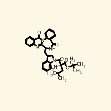 CC(C)C[C@](N)(C(=O)OC(C)(C)C)C(=O)N1CC(CC2NC(=O)c3ccccc3-n3c2nc2ccccc2c3=O)c2ccccc21